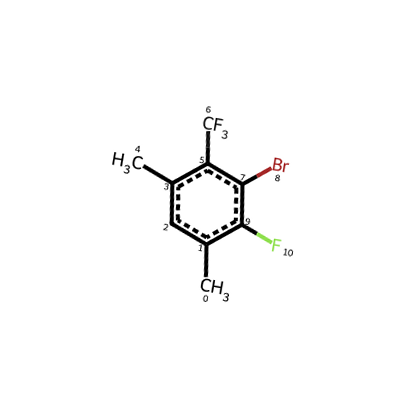 Cc1cc(C)c(C(F)(F)F)c(Br)c1F